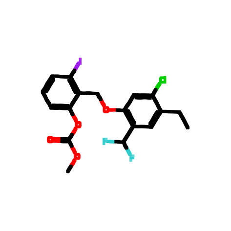 CCc1cc(C(F)F)c(OCc2c(I)cccc2OC(=O)OC)cc1Cl